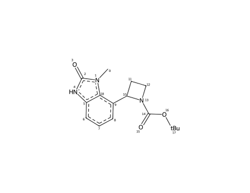 Cn1c(=O)[nH]c2cccc(C3CCN3C(=O)OC(C)(C)C)c21